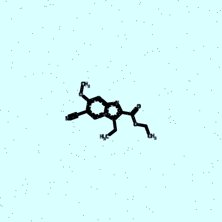 CCOC(=O)c1nc2cc(OC)c(C#N)cn2c1CC